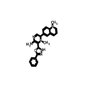 CN1C=CC=C2C=C(C3C=NC(N)=C(C4NN=C(c5ccccc5)O4)N3C)C=CC21